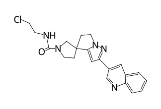 O=C(NCCCl)N1CCC2(CCn3nc(-c4cnc5ccccc5c4)cc32)C1